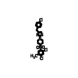 Cc1cc(S(=O)(=O)N2CCN(c3nc(Cc4ccc(Cl)cc4)cs3)CC2)c(Cl)cc1Cl